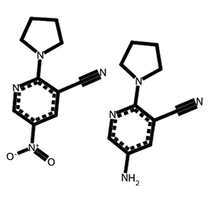 N#Cc1cc(N)cnc1N1CCCC1.N#Cc1cc([N+](=O)[O-])cnc1N1CCCC1